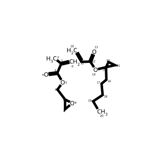 C=C(C)C(=O)OCC1CO1.C=CC(=O)OC1(CCCCC)CC1